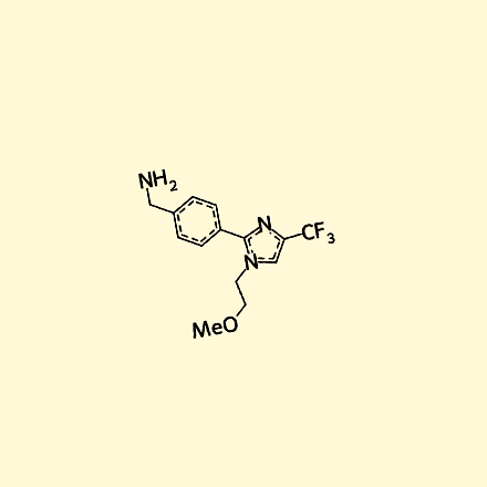 COCCn1cc(C(F)(F)F)nc1-c1ccc(CN)cc1